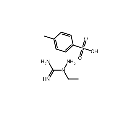 CCN(N)C(=N)N.Cc1ccc(S(=O)(=O)O)cc1